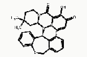 CC1(C)CCN2C(=O)c3c(O)c(=O)ccn3N([C@@H]3c4ccccc4SCc4cccc(F)c43)C2C1